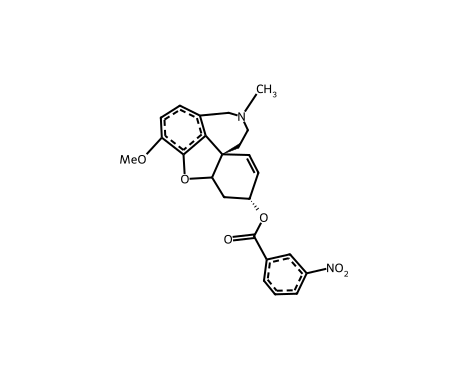 COc1ccc2c3c1OC1C[C@@H](OC(=O)c4cccc([N+](=O)[O-])c4)C=C[C@@]31CCN(C)C2